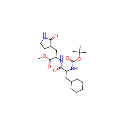 COC(=O)C(CC1CCNC1=O)NC(=O)C(CC1CCCCC1)NC(=O)OC(C)(C)C